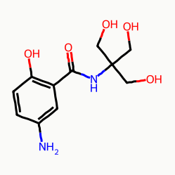 Nc1ccc(O)c(C(=O)NC(CO)(CO)CO)c1